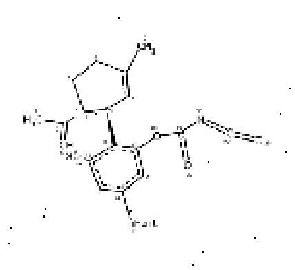 C=C(C)[C@@H]1CCC(C)=C[C@H]1c1c(O)cc(CCCCC)cc1OC(=O)N=C=O